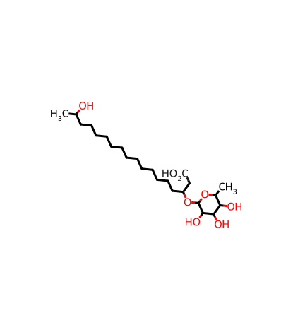 CC(O)CCCCCCCCCCCCCC(CC(=O)O)OC1OC(C)C(O)C(O)C1O